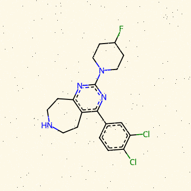 FC1CCN(c2nc3c(c(-c4ccc(Cl)c(Cl)c4)n2)CCNCC3)CC1